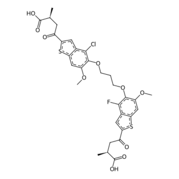 COc1cc2sc(C(=O)C[C@H](C)C(=O)O)cc2c(F)c1OCCCOc1c(OC)cc2sc(C(=O)C[C@H](C)C(=O)O)cc2c1Cl